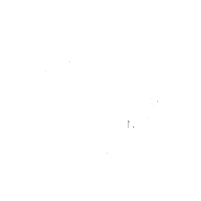 Cc1cc(C2CC3C=CC2C3)ccc1N1C(=O)C=CC1=O